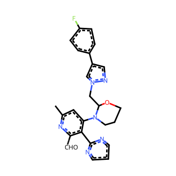 Cc1cc(N2CCCOC2Cn2cc(-c3ccc(F)cc3)cn2)c(-c2ncccn2)c(C=O)n1